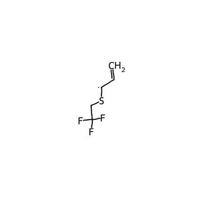 C=C[CH]SCC(F)(F)F